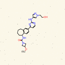 CC(C)(C)OC1CN(C(=O)N[C@H]2CCCCc3cc(-c4ccnc(Nc5cnn(CCO)c5)n4)ccc32)C1